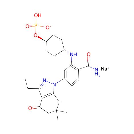 CCc1nn(-c2ccc(C(N)=O)c(N[C@H]3CC[C@H](OP(=O)([O-])O)CC3)c2)c2c1C(=O)CC(C)(C)C2.[Na+]